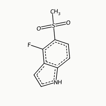 CS(=O)(=O)c1ccc2[nH]ccc2c1F